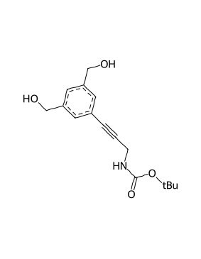 CC(C)(C)OC(=O)NCC#Cc1cc(CO)cc(CO)c1